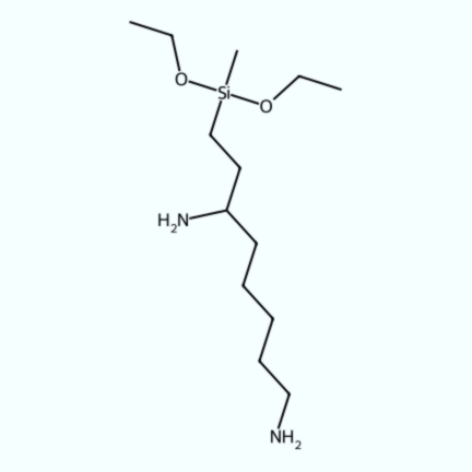 CCO[Si](C)(CCC(N)CCCCCN)OCC